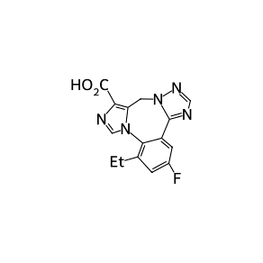 CCc1cc(F)cc2c1-n1cnc(C(=O)O)c1Cn1ncnc1-2